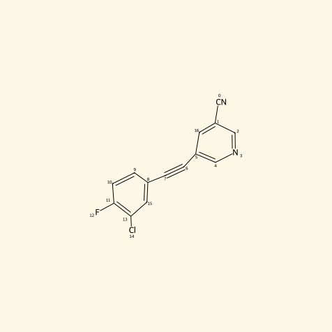 N#Cc1cncc(C#Cc2ccc(F)c(Cl)c2)c1